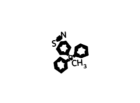 C[P+](c1ccccc1)(c1ccccc1)c1ccccc1.N#C[S-]